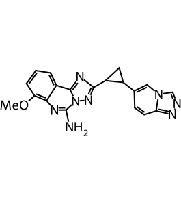 COc1cccc2c1nc(N)n1nc(C3CC3c3ccc4nncn4c3)nc21